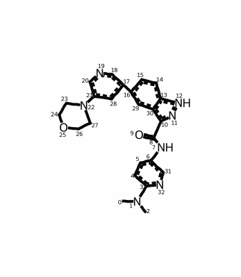 CN(C)c1ccc(NC(=O)c2n[nH]c3ccc(-c4cncc(N5CCOCC5)c4)cc23)cn1